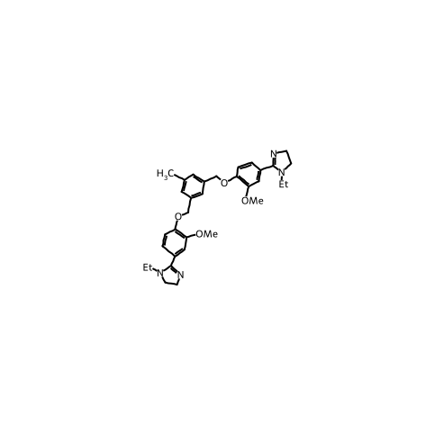 CCN1CCN=C1c1ccc(OCc2cc(C)cc(COc3ccc(C4=NCCN4CC)cc3OC)c2)c(OC)c1